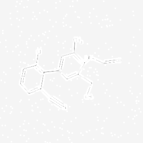 CCc1cc(-c2c(Cl)cccc2C#N)cc(C)c1NC=O